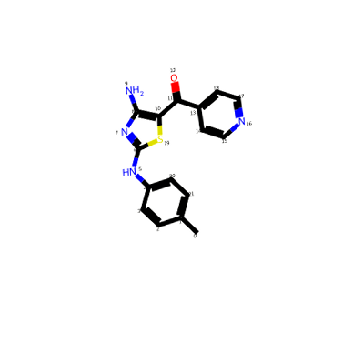 Cc1ccc(Nc2nc(N)c(C(=O)c3ccncc3)s2)cc1